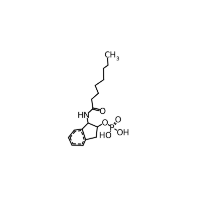 CCCCCCCC(=O)NC1c2ccccc2CC1OP(=O)(O)O